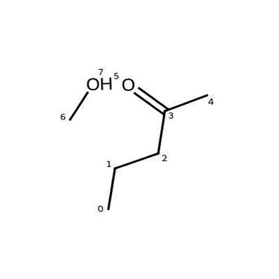 CCCC(C)=O.CO